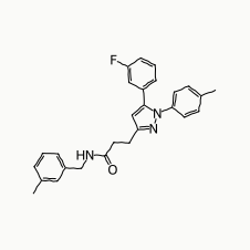 Cc1ccc(-n2nc(CCC(=O)NCc3cccc(C)c3)cc2-c2cccc(F)c2)cc1